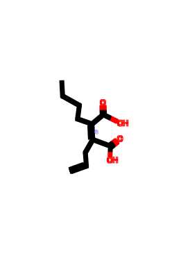 C=CC/C(C(=O)O)=C(\CCCC)C(=O)O